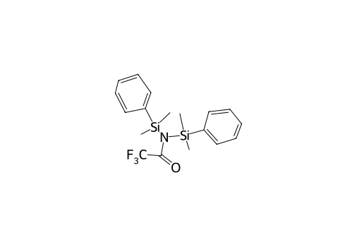 C[Si](C)(c1ccccc1)N(C(=O)C(F)(F)F)[Si](C)(C)c1ccccc1